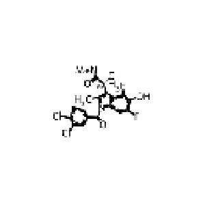 CNC(=O)[C@H](C)c1c(C)n(C(=O)c2ccc(Cl)c(Cl)c2)c2cc(F)c(O)c(F)c12